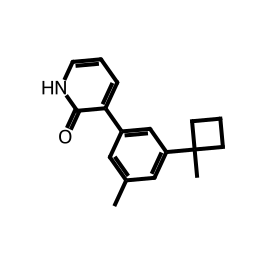 Cc1cc(-c2ccc[nH]c2=O)cc(C2(C)CCC2)c1